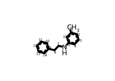 Cc1cccc(NCCc2ccccc2)c1